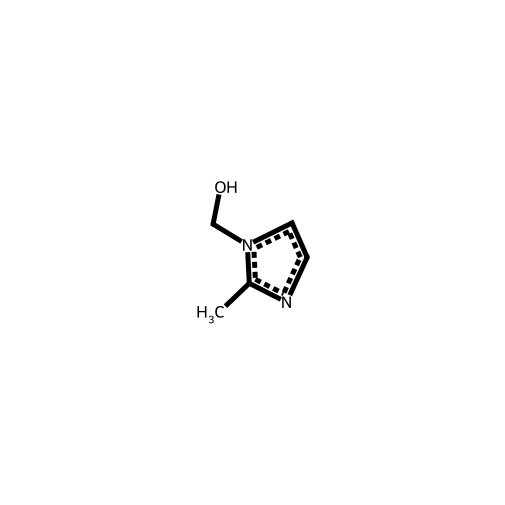 Cc1nccn1CO